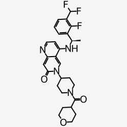 C[C@@H](Nc1ccnc2cc(=O)n(C3CCN(C(=O)C4CCOCC4)CC3)cc12)c1cccc(C(F)F)c1F